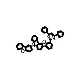 c1ccc(-c2cc(-c3ccccc3)nc(-c3cccc4c3oc3c4ccc4c3c3ccccc3n4-c3ccc4oc5ccccc5c4c3)n2)cc1